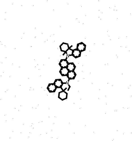 CCN(c1ccc2ccccc2c1C1(C)CCCCC1)c1ccc2ccc3c(N4c5ccc6ccccc6c5C5(C)CCCCC45C)ccc4ccc1c2c43